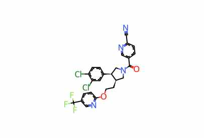 N#Cc1ccc(C(=O)N2C[C@@H](CCOc3ccc(C(F)(F)F)cn3)[C@@H](c3ccc(Cl)c(Cl)c3)C2)cn1